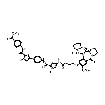 COC(=O)c1ccc(NC(=O)c2cc(-c3ccc(NC(=O)c4cc(NC(=O)CCCOc5cc6c(cc5OC)C(=O)N5CCCC[C@H]5[C@H](OC5CCCCO5)N6C(=O)O)cn4C)cc3)cn2C)cc1